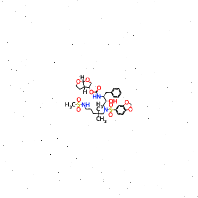 CC(C)(CCCNS(C)(=O)=O)CN(C[C@@H](O)[C@H](Cc1ccccc1)NC(=O)O[C@H]1CO[C@H]2OCC[C@H]21)S(=O)(=O)c1ccc2c(c1)OCO2